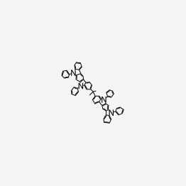 CC(C)(c1ccc2c3cc4c5ccccc5n(-c5ccccc5)c4cc3n(-c3ccccc3)c2c1)c1ccc2c3cc4c5ccccc5n(-c5ccccc5)c4cc3n(-c3ccccc3)c2c1